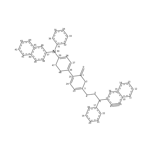 C=C1CC(CCC(c2c#cc3ccccc3c2)c2ccccc2)=CC=C1C1=CC=C(N(c2ccccc2)c2ccc3ccccc3c2)CC1